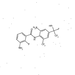 Bc1cc(C(F)(CCC)C(F)(F)F)cc(C(F)(F)F)c1NC(=O)c1cccc(N)c1F